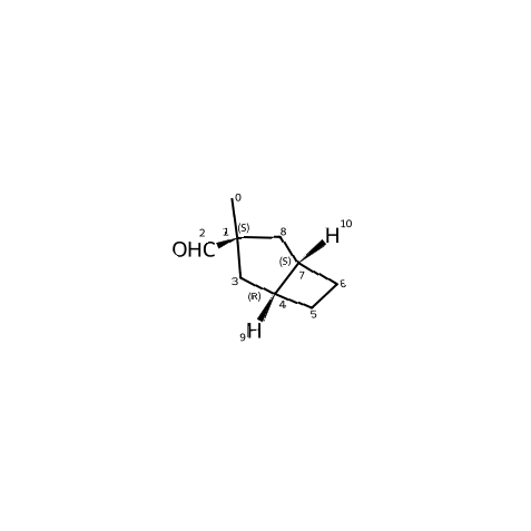 C[C@@]1(C=O)C[C@H]2CC[C@H]2C1